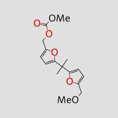 COCc1ccc(C(C)(C)c2ccc(COC(=O)OC)o2)o1